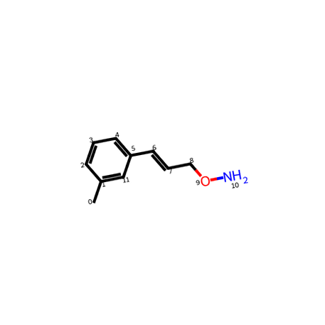 Cc1cccc(C=CCON)c1